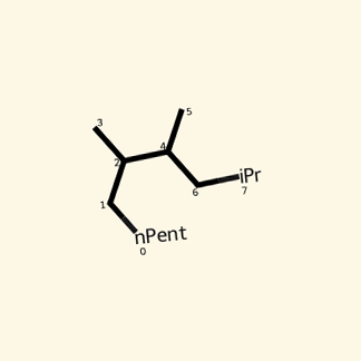 CCCCCCC(C)[C](C)CC(C)C